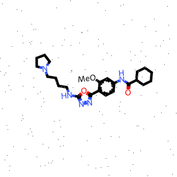 COc1cc(NC(=O)C2CCCCC2)ccc1-c1nnc(NCCCCN2CCCC2)o1